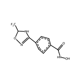 O=C(NO)c1ccc(C2=NOC(C(F)(F)F)N2)cc1